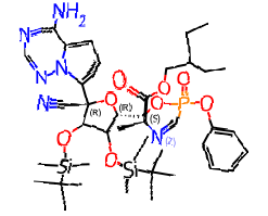 CCC(CC)COC(=O)[C@H](C)/N=C\P(=O)(OC[C@H]1O[C@@](C#N)(c2ccc3c(N)ncnn23)C(O[Si](C)(C)C(C)(C)C)C1O[Si](C)(C)C(C)(C)C)Oc1ccccc1